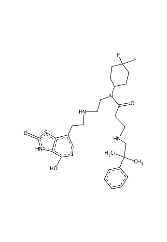 CC(C)(CNCCC(=O)N(CCNCCc1ccc(O)c2[nH]c(=O)sc12)C1CCC(F)(F)CC1)c1ccccc1